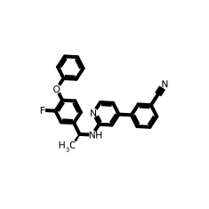 C[C@H](Nc1cc(-c2cccc(C#N)c2)ccn1)c1ccc(Oc2ccccc2)c(F)c1